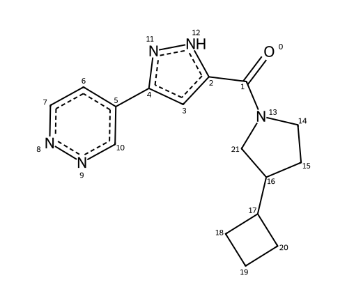 O=C(c1cc(-c2ccnnc2)n[nH]1)N1CCC(C2CCC2)C1